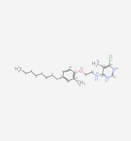 CCCCCCCCc1ccc(OCCNc2ncnc(Cl)c2C)c(C)c1